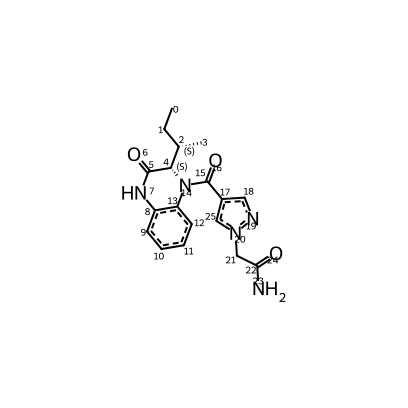 CC[C@H](C)[C@H]1C(=O)Nc2ccccc2N1C(=O)c1cnn(CC(N)=O)c1